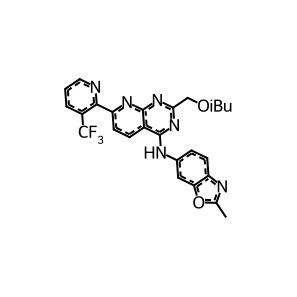 Cc1nc2ccc(Nc3nc(COCC(C)C)nc4nc(-c5ncccc5C(F)(F)F)ccc34)cc2o1